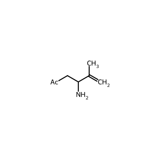 C=C(C)C(N)CC(C)=O